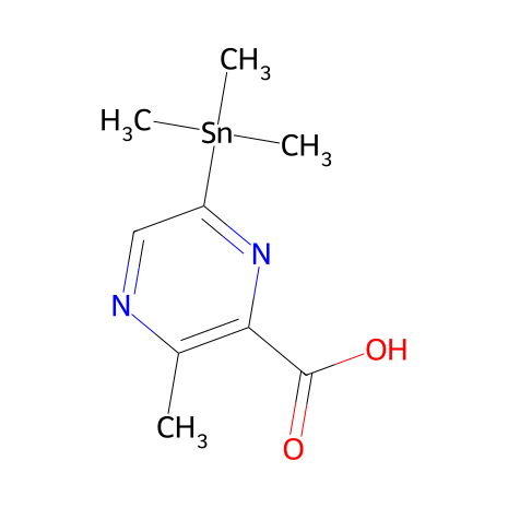 Cc1nc[c]([Sn]([CH3])([CH3])[CH3])nc1C(=O)O